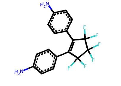 Nc1ccc(C2=C(c3ccc(N)cc3)C(F)(F)C(F)(F)C2(F)F)cc1